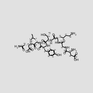 CC(C)C[C@H](NC(=O)[C@H](Cc1ccc(O)cc1)NC(=O)[C@@H](NC(=O)[C@H](CCCCN)NC(=O)CNC(=O)[C@@H](N)CC(=O)O)[C@@H](C)O)C(=O)N[C@@H](CC(N)=O)C(=O)O